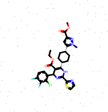 CCOC(=O)C1=C([C@H]2CC[C@@H](c3cc(C(=O)OC)nn3C)CC2)NC(c2nccs2)=NC1c1ccc(F)c(F)c1Cl